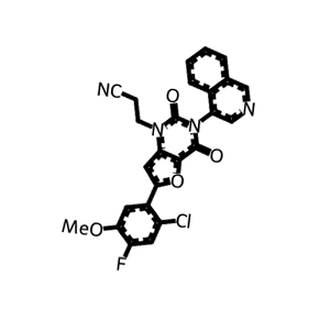 COc1cc(-c2cc3c(o2)c(=O)n(-c2cncc4ccccc24)c(=O)n3CCC#N)c(Cl)cc1F